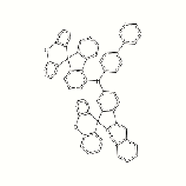 c1ccc(-c2ccc(N(c3ccc4c(c3)C3(c5ccccc5Oc5ccccc53)c3cc5ccccc5cc3-4)c3cccc4c3-c3ccccc3C43c4ccccc4Oc4ccccc43)cc2)cc1